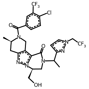 CC(c1ccn(CC(F)(F)F)n1)N1C[C@@H](CO)n2nc3c(c2C1=O)CN(C(=O)c1ccc(Cl)c(C(F)(F)F)c1)[C@H](C)C3